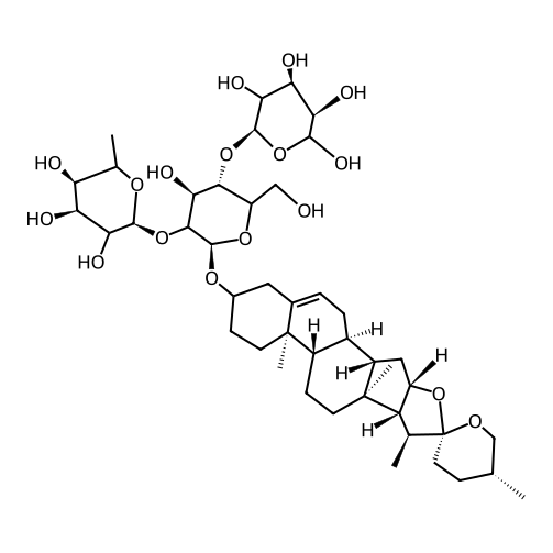 CC1O[C@@H](OC2[C@H](OC3CC[C@@]4(C)C(=CC[C@H]5[C@@H]6C[C@@H]7O[C@]8(CC[C@@H](C)CO8)[C@@H](C)[C@@H]7[C@@]6(C)CC[C@@H]54)C3)OC(CO)[C@@H](O[C@@H]3OC(O)[C@H](O)[C@H](O)C3O)[C@@H]2O)C(O)[C@@H](O)[C@H]1O